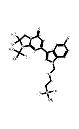 CC(C)(C)N1c2nc(-c3cn(COCC[Si](C)(C)C)c4ccc(Br)cc34)cc(=O)n2CC1(C)C